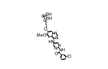 COc1cc2c(Nc3cnc(NC(=O)c4cccc(Cl)c4)nc3)ncnc2cc1OCCCOP(=O)(O)O